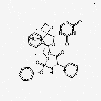 O=C(OCc1ccccc1)[C@@H](NP(=O)(OC[C@H]1O[C@@H](n2ccc(=O)[nH]c2=O)[C@@]2(CCO2)[C@@H]1O)Oc1ccccc1)c1ccccc1